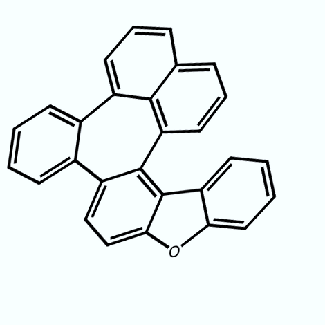 c1ccc2c(c1)-c1ccc3oc4ccccc4c3c1-c1cccc3cccc-2c13